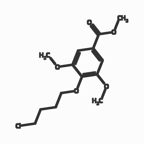 COC(=O)c1cc(OC)c(OCCCCCl)c(OC)c1